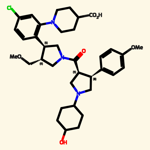 COC[C@H]1CN(C(=O)[C@@H]2CN(C3CCC(O)CC3)C[C@H]2c2ccc(OC)cc2)C[C@@H]1c1ccc(Cl)cc1N1CCC(C(=O)O)CC1